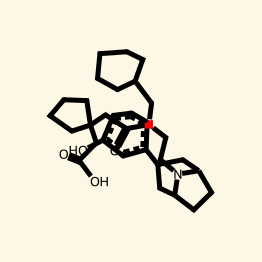 O=C(O)CC1(CC(=O)N(CCN2C3CCC2CC(c2cccc(O)c2)C3)CC2CCCCC2)CCCC1